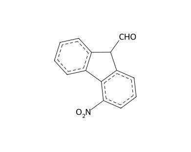 O=CC1c2ccccc2-c2c1cccc2[N+](=O)[O-]